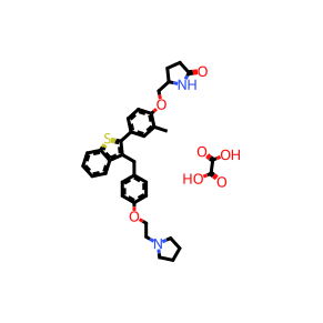 Cc1cc(-c2sc3ccccc3c2Cc2ccc(OCCN3CCCC3)cc2)ccc1OCC1CCC(=O)N1.O=C(O)C(=O)O